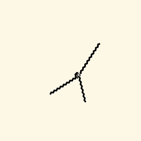 CCCCCCCCCCCCCCCCCCCN1C=CN(CCCCCCCCCCCCCCCCC)C1CCCCCCCCCCCCC